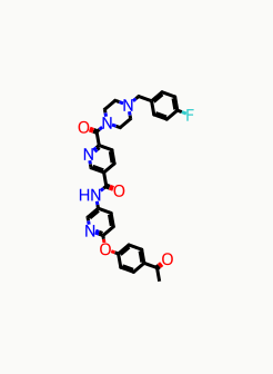 CC(=O)c1ccc(Oc2ccc(NC(=O)c3ccc(C(=O)N4CCN(Cc5ccc(F)cc5)CC4)nc3)cn2)cc1